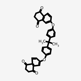 CC(C)(c1ccc(Oc2ccc3c(c2)C(=O)CCC3=O)cc1)c1ccc(Oc2ccc3c(c2)C(=O)CCC3=O)cc1